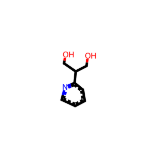 OCC(CO)c1ccccn1